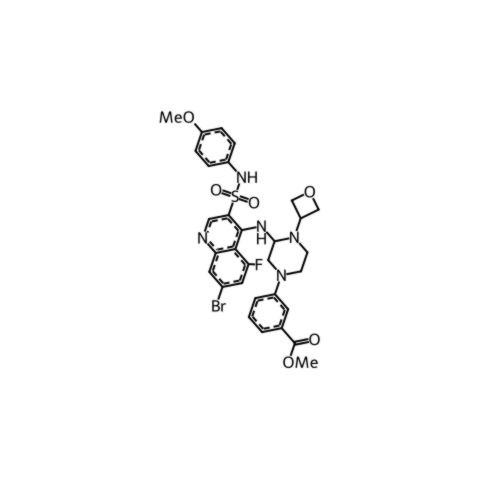 COC(=O)c1cccc(N2CCN(C3COC3)C(Nc3c(S(=O)(=O)Nc4ccc(OC)cc4)cnc4cc(Br)cc(F)c34)C2)c1